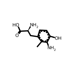 Cc1c(C[C@H](N)C(=O)O)ccc(O)c1N